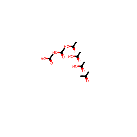 CC(=O)O.CC(=O)O.CC(=O)O.CC(=O)O.CC(=O)O.CC(C)=O